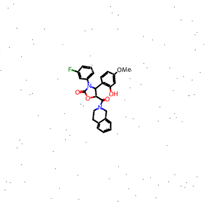 COc1ccc(C2C(C(=O)N3CCc4ccccc4C3)OC(=O)N2c2cccc(F)c2)c(O)c1